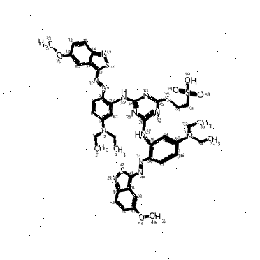 CCN(CC)c1ccc(/N=N/c2snc3ccc(OC)cc23)c(Nc2nc(Nc3cc(N(CC)CC)ccc3/N=N/c3snc4ccc(OC)cc34)nc(SCCS(=O)(=O)O)n2)c1